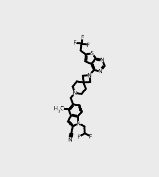 Cc1c(CN2CCC3(CC2)CN(c2ncnc4sc(CC(F)(F)F)cc24)C3)ccc2c1cc(C#N)n2CC(F)F